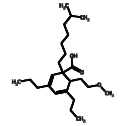 CCCC1=CC(CCCCCC(C)C)(C(=O)O)C(CCOC)C(CCC)=C1